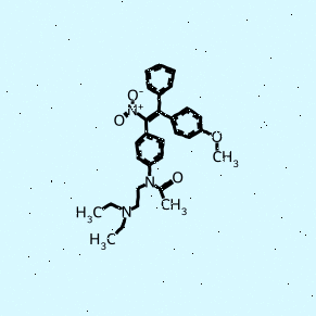 CCN(CC)CCN(C(C)=O)c1ccc(C(=C(c2ccccc2)c2ccc(OC)cc2)[N+](=O)[O-])cc1